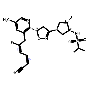 C#C/C=C\C=C(\F)Cc1cc(C)cnc1[C@@H]1CC(N2C[C@H](F)[C@H](NS(=O)(=O)C(F)F)C2)=NO1